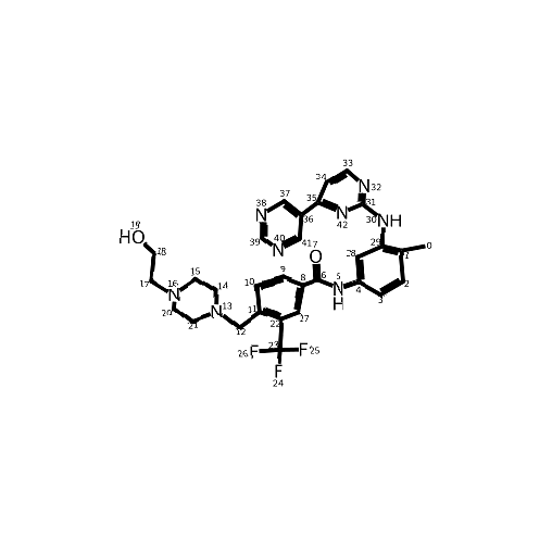 Cc1ccc(NC(=O)c2ccc(CN3CCN(CCO)CC3)c(C(F)(F)F)c2)cc1Nc1nccc(-c2cncnc2)n1